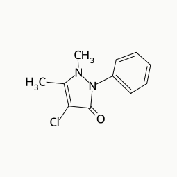 Cc1c(Cl)c(=O)n(-c2ccccc2)n1C